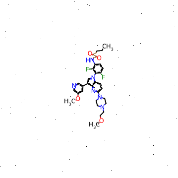 CCCS(=O)(=O)Nc1ccc(F)c(-n2cc(-c3cncc(OC)c3)c3nc(N4CCN(CCOC)CC4)ccc32)c1F